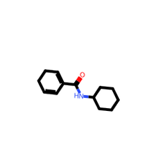 O=C(NC1CCCCC1)C1=CCCC=C1